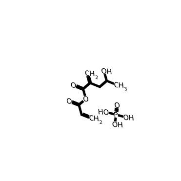 C=CC(=O)OC(=O)C(=C)CC(C)O.O=P(O)(O)O